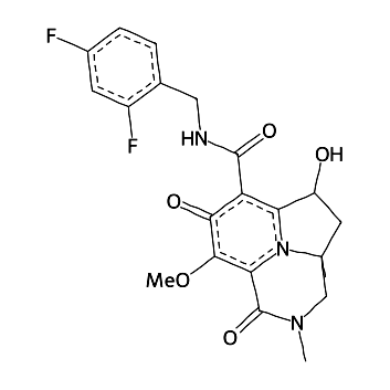 COc1c2n3c(c(C(=O)NCc4ccc(F)cc4F)c1=O)C(O)CC3(C)CN(C)C2=O